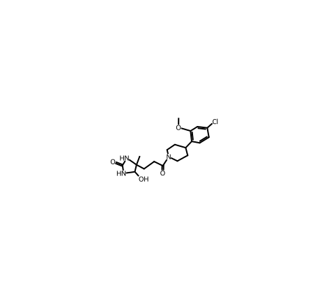 COc1cc(Cl)ccc1C1CCN(C(=O)CCC2(C)NC(=O)NC2O)CC1